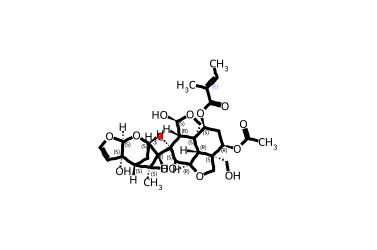 C/C=C(\C)C(=O)O[C@H]1C[C@@H](OC(C)=O)[C@@]2(CO)CO[C@H]3[C@@H](O)[C@@](C)([C@]45O[C@@]4(C)[C@H]4C[C@@H]5O[C@@H]5OC=C[C@@]54O)[C@@H]4[C@@H](O)OC[C@@]14[C@@H]32